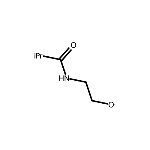 CC(C)C(=O)NCC[O]